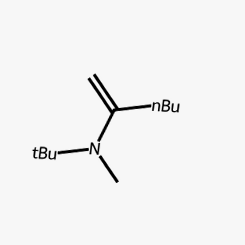 C=C(CCCC)N(C)C(C)(C)C